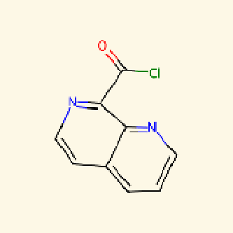 O=C(Cl)c1nccc2cccnc12